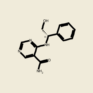 NC(=O)c1cncnc1N[C@H](CO)c1ccccc1